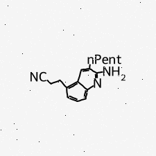 CCCCCc1cc2c(CCC#N)cccc2nc1N